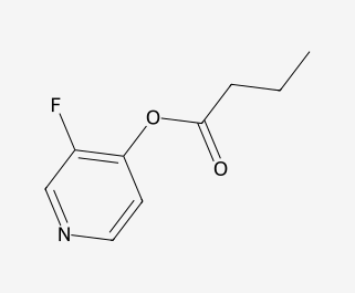 CCCC(=O)Oc1ccncc1F